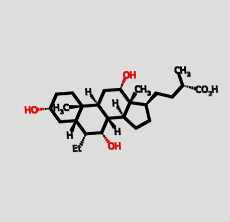 CC[C@H]1[C@@H](O)[C@@H]2[C@H](C[C@H](O)[C@]3(C)[C@@H](CC[C@H](C)C(=O)O)CC[C@@H]23)[C@@]2(C)CC[C@@H](O)C[C@@H]12